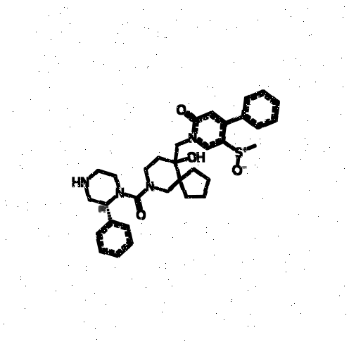 C[S+]([O-])c1cn(CC2(O)CCN(C(=O)N3CCNC[C@H]3c3ccccc3)CC23CCCC3)c(=O)cc1-c1ccccc1